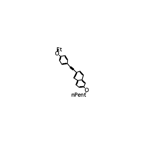 CCCCCOc1ccc2cc(C#Cc3ccc(OCC)cc3)ccc2c1